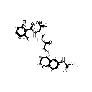 N=C(N)Nc1ccc2c(c1)[C@@H](NCC(=O)NC[C@H](NC(=O)c1c(Cl)cccc1Cl)C(=O)O)CCO2